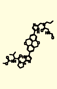 CCCN(Cc1ncc(-c2cc3c4c(c2)OCc2cc(-c5cnc([C@H]6CCCN6C(=O)C(NC(=O)OC)C(C)C)[nH]5)cc(c2-4)OC3)[nH]1)C(=O)CNC=O